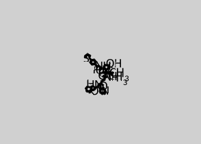 CC(C)(C)[C@H](NC(=O)CCC(=O)NC(c1cccnc1)c1cc2ccccc2o1)C(=O)N1C[C@H](O)C[C@H]1C(=O)NCc1ccc(-c2cccs2)cc1